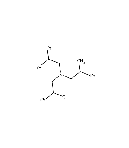 CC(C)C(C)C[Si](CC(C)C(C)C)CC(C)C(C)C